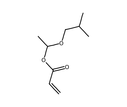 C=CC(=O)OC(C)OCC(C)C